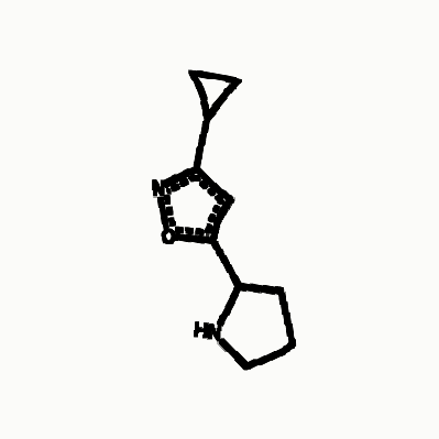 c1c(C2CC2)noc1C1CCCN1